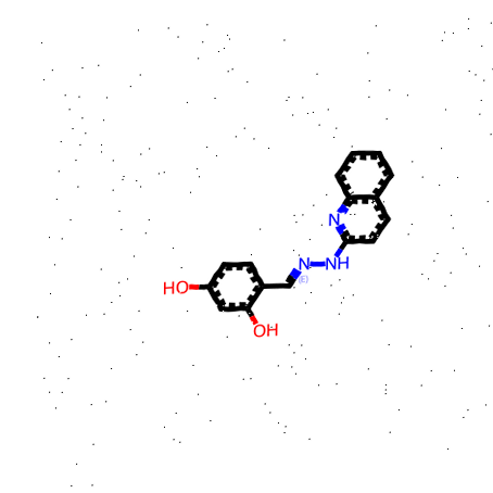 Oc1ccc(/C=N/Nc2ccc3ccccc3n2)c(O)c1